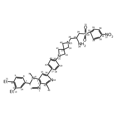 C=Nc1c(N(C)Cc2ccc(CC)c(CC)c2)cc(-c2ccc(N3CC4(CN(CC(N)CS(=O)(=O)c5ccc([N+](=O)[O-])cc5)C4)C3)cc2)nc1C